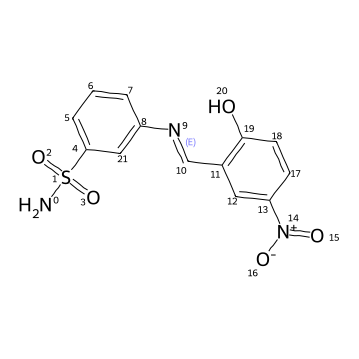 NS(=O)(=O)c1cccc(/N=C/c2cc([N+](=O)[O-])ccc2O)c1